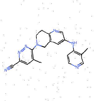 Cc1cnccc1Nc1cnc2c(c1)CN(c1nnc(C#N)cc1C)CC2